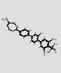 NC1CCOC(c2ccc(-c3ccc(-c4cc(F)c(C(F)(F)F)c(F)c4)c(F)c3)cc2)OC1